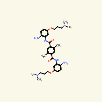 Cc1cc(C(=O)Nc2cc(OCCCN(C)C)ccc2N)c(C)cc1C(=O)Nc1cc(OCCCN(C)C)ccc1N